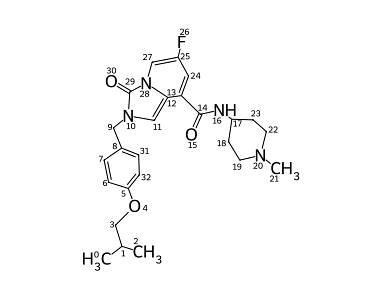 CC(C)COc1ccc(Cn2cc3c(C(=O)NC4CCN(C)CC4)cc(F)cn3c2=O)cc1